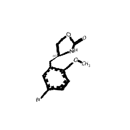 COc1ccc(Br)cc1C[C@H]1COC(=O)N1